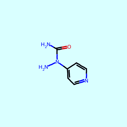 NC(=O)N(N)c1ccncc1